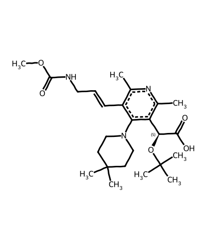 COC(=O)NCC=Cc1c(C)nc(C)c([C@H](OC(C)(C)C)C(=O)O)c1N1CCC(C)(C)CC1